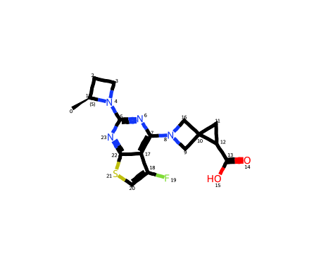 C[C@H]1CCN1c1nc(N2CC3(CC3C(=O)O)C2)c2c(F)csc2n1